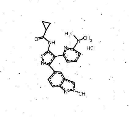 CN(C)c1cccc(-c2c(-c3ccc4nn(C)cc4c3)nsc2NC(=O)C2CC2)n1.Cl